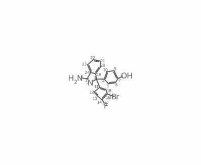 NC1=NC(c2ccc(O)cc2)(c2ccc(F)c(Br)c2)c2ccccc21